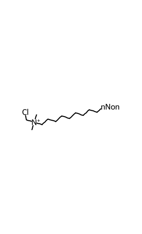 CCCCCCCCCCCCCCCCCC[N+](C)(C)CCl